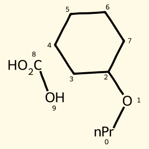 CCCOC1CCCCC1.O=C(O)O